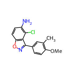 COc1ccc(-c2noc3ccc(N)c(Cl)c23)cc1C